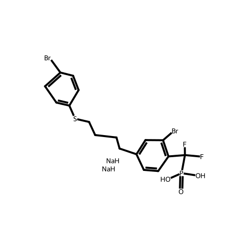 O=P(O)(O)C(F)(F)c1ccc(CCCCSc2ccc(Br)cc2)cc1Br.[NaH].[NaH]